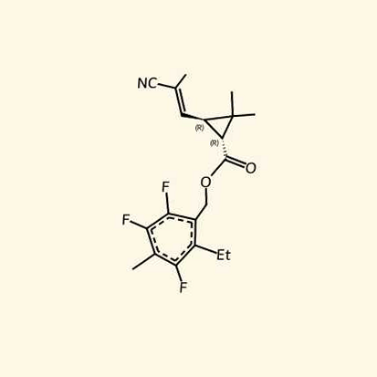 CCc1c(F)c(C)c(F)c(F)c1COC(=O)[C@@H]1[C@@H](C=C(C)C#N)C1(C)C